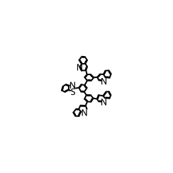 c1ccc2ncc(-c3cc(-c4cc(-c5cc(-c6cnc7ccccc7c6)cc(-c6cnc7ccccc7c6)c5)cc(-c5nc6ccccc6s5)c4)cc(-c4cnc5ccccc5c4)c3)cc2c1